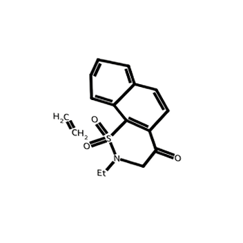 C=C.CCN1CC(=O)c2ccc3ccccc3c2S1(=O)=O